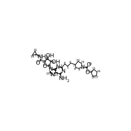 Nc1nc(CCCC2CCN(C(=O)OC3CCCC3)CC2)nc2c1ncn2[C@@H]1O[C@H](C(=O)NC2CC2)[C@H](O)C1O